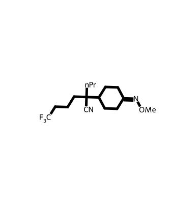 CCCC(C#N)(CCCC(F)(F)F)C1CCC(=NOC)CC1